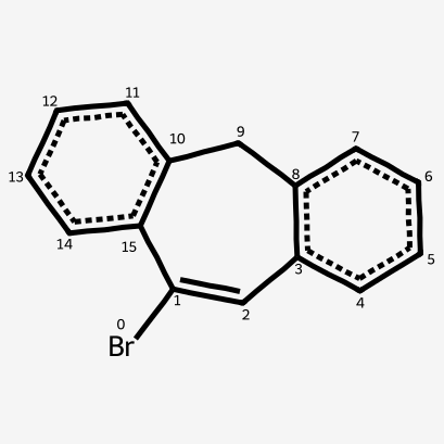 BrC1=Cc2ccccc2Cc2ccccc21